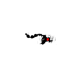 CN(CCCNC(=O)NCc1ccc(N2CCC(Oc3ccc(OC(F)(F)F)cc3)CC2)cc1)[C@H](C(N)=O)[C@H](O[C@@H]1O[C@H](CN)[C@@H](O)[C@H]1O)[C@H]1O[C@@H](n2ccc(=O)[nH]c2=O)C(O)C1O